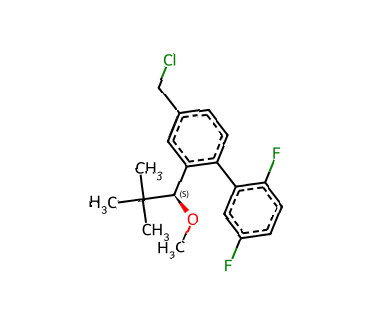 CO[C@H](c1cc(CCl)ccc1-c1cc(F)ccc1F)C(C)(C)C